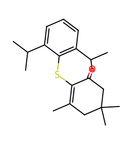 CC1=C(Sc2c(C(C)C)cccc2C(C)C)C(=O)CC(C)(C)C1